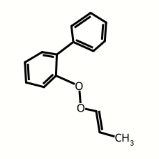 CC=COOc1ccccc1-c1ccccc1